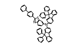 c1ccc(-c2ccc(-c3nc4ccc(N(c5ccc6c(c5)C(c5ccccc5)(c5ccccc5)c5ccccc5-6)c5ccc6c(c5)C(c5ccccc5)(c5ccccc5)c5ccccc5-6)cc4s3)cc2)cc1